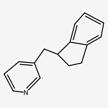 [c]1ncccc1CC1CCc2ccccc21